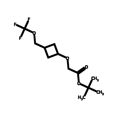 CC(C)(C)OC(=O)COC1CC(COC(F)(F)F)C1